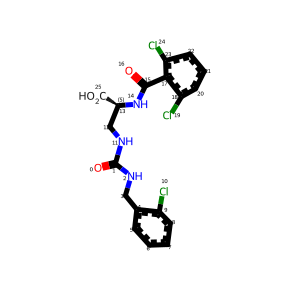 O=C(NCc1ccccc1Cl)NC[C@H](NC(=O)c1c(Cl)cccc1Cl)C(=O)O